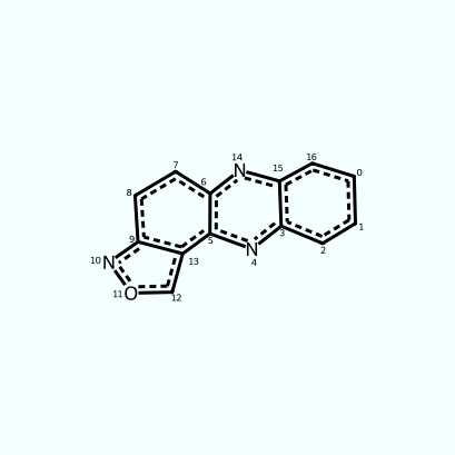 c1ccc2nc3c(ccc4nocc43)nc2c1